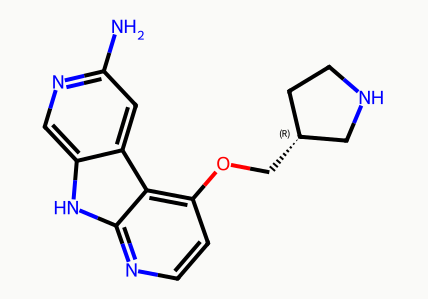 Nc1cc2c(cn1)[nH]c1nccc(OC[C@@H]3CCNC3)c12